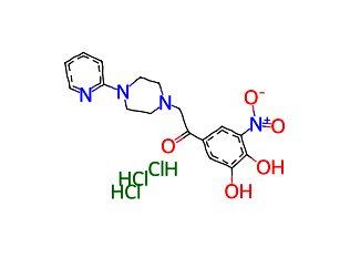 Cl.Cl.Cl.O=C(CN1CCN(c2ccccn2)CC1)c1cc(O)c(O)c([N+](=O)[O-])c1